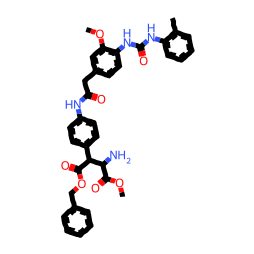 COC(=O)C(N)C(C(=O)OCc1ccccc1)c1ccc(NC(=O)Cc2ccc(NC(=O)Nc3ccccc3C)c(OC)c2)cc1